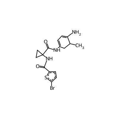 CC1CC(NC(=O)C2(NC(=O)c3ccc(Br)s3)CC2)=CC=C1N